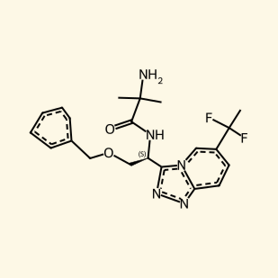 CC(C)(N)C(=O)N[C@H](COCc1ccccc1)c1nnc2ccc(C(C)(F)F)cn12